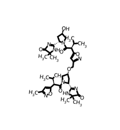 Cc1cc([C@H](C(=O)N2C[C@H](OCc3cc([C@@H](C(=O)N4C[C@H](O)C[C@H]4C4=NC(=O)C(C)(C)N4)C(C)C)on3)C[C@@H]2C2=NC(=O)C(C)(C)N2)C(C)C)on1